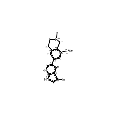 COc1cc(-c2cnc3[nH]cc(I)c3c2)cc2c1CN(C)CC2